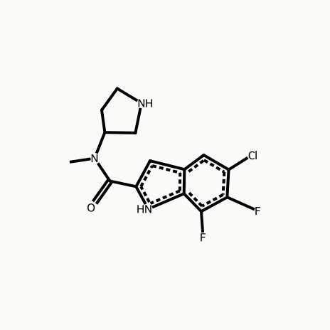 CN(C(=O)c1cc2cc(Cl)c(F)c(F)c2[nH]1)C1CCNC1